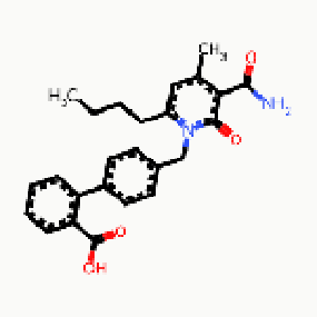 CCCCc1cc(C)c(C(N)=O)c(=O)n1Cc1ccc(-c2ccccc2C(=O)O)cc1